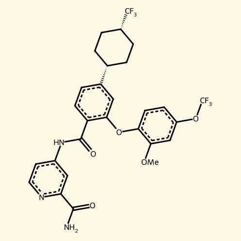 COc1cc(OC(F)(F)F)ccc1Oc1cc([C@H]2CC[C@@H](C(F)(F)F)CC2)ccc1C(=O)Nc1ccnc(C(N)=O)c1